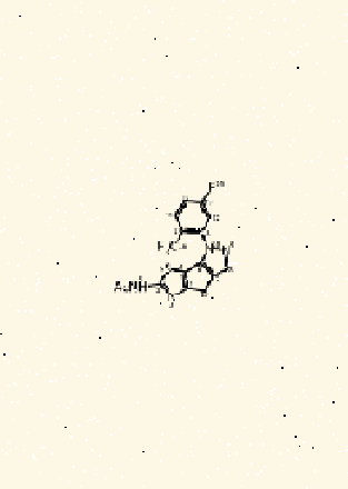 CC(=O)Nc1nc2c(s1)-c1c(cnn1-c1cc(F)ccc1C(F)(F)F)C2